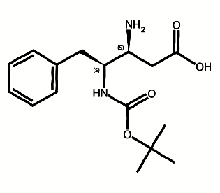 CC(C)(C)OC(=O)N[C@@H](Cc1ccccc1)[C@@H](N)CC(=O)O